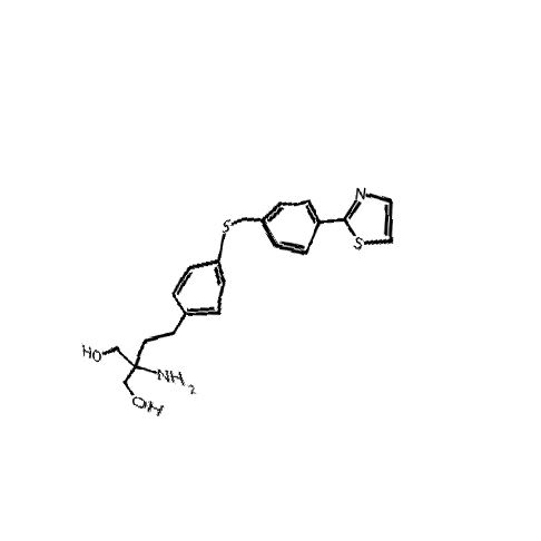 NC(CO)(CO)CCc1ccc(Sc2ccc(-c3nccs3)cc2)cc1